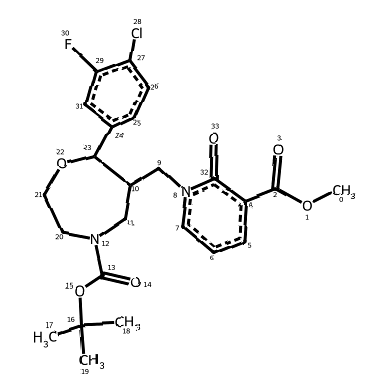 COC(=O)c1cccn(CC2CN(C(=O)OC(C)(C)C)CCOC2c2ccc(Cl)c(F)c2)c1=O